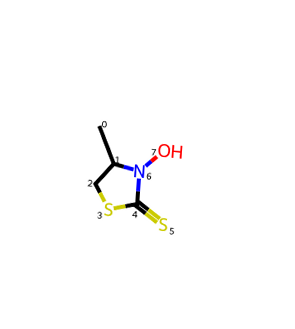 CC1CSC(=S)N1O